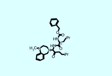 CC(C)CCC(=O)C(NC(=O)[C@H](CC(C)C)NC(=O)OCc1ccccc1)N1CCN(C)c2ccccc2C1